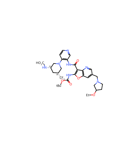 CCOC1CCN(Cc2cnc3c(C(=O)Nc4cnccc4N4C[C@@H](NC(=O)O)C[C@@H](C(F)(F)F)C4)c(NC(=O)OC(C)(C)C)oc3c2)C1